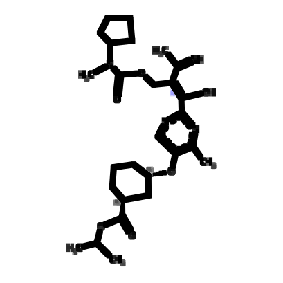 CC(=N)/C(COC(=O)N(C)C1CCCC1)=C(\O)c1ncc(O[C@H]2CCC[C@H](C(=O)OC(C)C)C2)c(C)n1